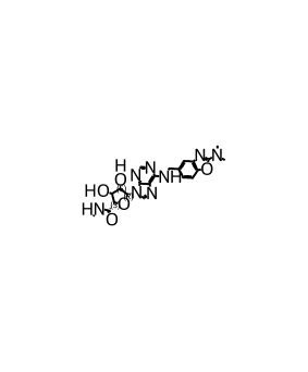 CNC(=O)[C@H]1O[C@@H](n2cnc3c(NCc4ccc5oc(N(C)C)nc5c4)ncnc32)[C@@H](O)C1O